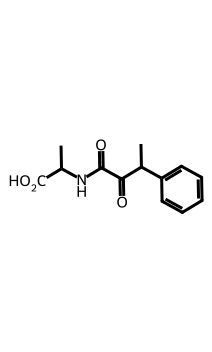 CC(NC(=O)C(=O)C(C)c1ccccc1)C(=O)O